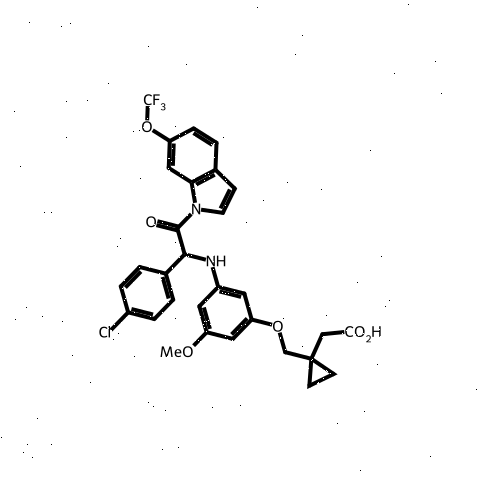 COc1cc(NC(C(=O)n2ccc3ccc(OC(F)(F)F)cc32)c2ccc(Cl)cc2)cc(OCC2(CC(=O)O)CC2)c1